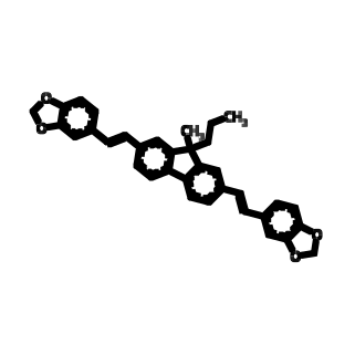 CCCC1(C)c2cc(/C=C/c3ccc4c(c3)OCO4)ccc2-c2ccc(/C=C/c3ccc4c(c3)OCO4)cc21